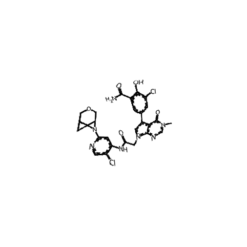 Cn1cnc2c(c(-c3cc(Cl)c(O)c(C(N)=O)c3)cn2CC(=O)Nc2cc(N3C4COCC5CC543)ncc2Cl)c1=O